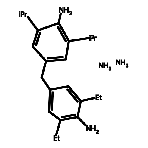 CCc1cc(Cc2cc(C(C)C)c(N)c(C(C)C)c2)cc(CC)c1N.N.N